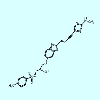 CNc1cnc(C#CC=Cc2nc3ccc(OCC(O)COS(=O)(=O)c4ccc(C)cc4)cc3s2)cn1